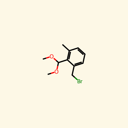 COC(OC)c1c(C)cccc1CBr